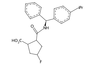 CC(C)c1ccc([C@@H](NC(=O)C2CC(F)CC2C(=O)O)c2ccccc2)cc1